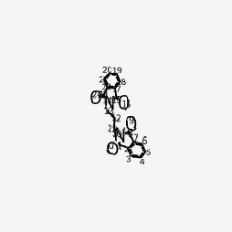 O=C1c2ccccc2C(=O)N1CCCN1C(=O)c2ccccc2C1=O